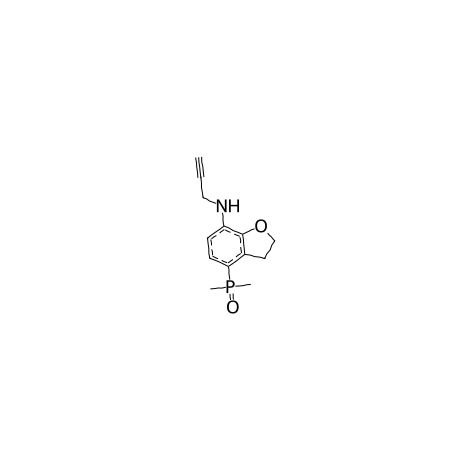 C#CCNc1ccc(P(C)(C)=O)c2c1OCC2